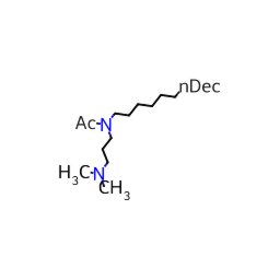 CCCCCCCCCCCCCCCCN(CCCN(C)C)C(C)=O